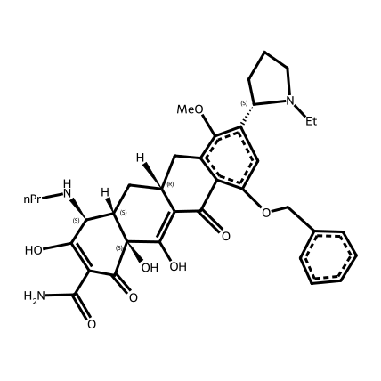 CCCN[C@@H]1C(O)=C(C(N)=O)C(=O)[C@@]2(O)C(O)=C3C(=O)c4c(OCc5ccccc5)cc([C@@H]5CCCN5CC)c(OC)c4C[C@H]3C[C@@H]12